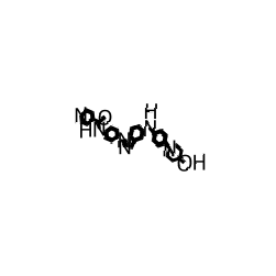 O=C(Nc1ccc(-n2ncc3cc(Nc4ccc(N5CCC(O)CC5)cc4)ccc32)cc1)c1ccncc1